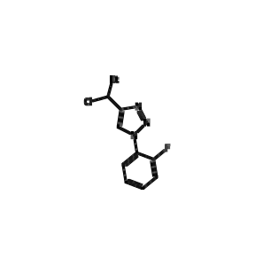 CCC(Cl)c1cn(-c2ccccc2F)nn1